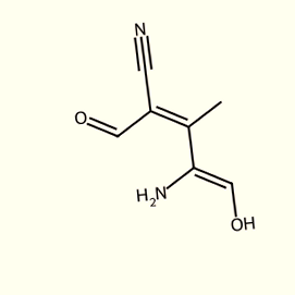 CC(/C(N)=C/O)=C(\C#N)C=O